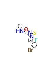 Cn1c(CC(=O)NC2CCCC2)c2n(c1=S)C[C@@]1(c3cc(Br)ccc3F)CC21